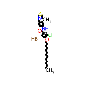 Br.CCCCCCCCCCCCCCOc1ccc(C(=O)Nc2ccc(CN3CSC=C3C)cc2)cc1Cl